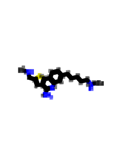 CCNCc1cc2c(N)nc3cc(CCCCCNC(C)(C)C)ccc3c2s1